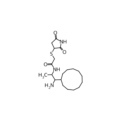 CC(NC(=O)CSC1CC(=O)NC1=O)C(N)C1CCCCCCCCCC1